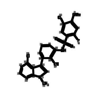 COc1cc(F)c(S(=O)(=O)Nc2cccc(-c3cn(C)c4ncnc(Cl)c34)c2C#N)cc1Cl